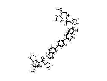 COO/C=N\[C@H](C(=O)N1CCC[C@H]1c1nc2cc(-c3ccc(-c4ccc5[nH]c([C@@H]6CCCN6C(=O)[C@@H](NC(=O)OC)C6CCCC6)nc5c4)cc3)ccc2[nH]1)C1CCCC1